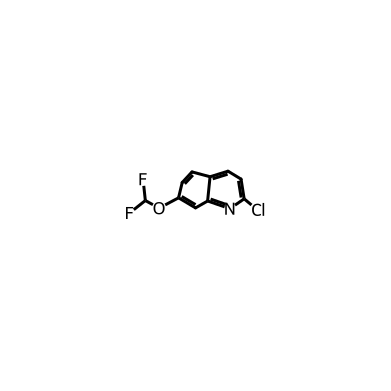 FC(F)Oc1ccc2ccc(Cl)nc2c1